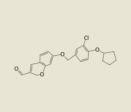 O=CC1=Cc2ccc(OCc3ccc(OC4CCCC4)c(Cl)c3)cc2OC1